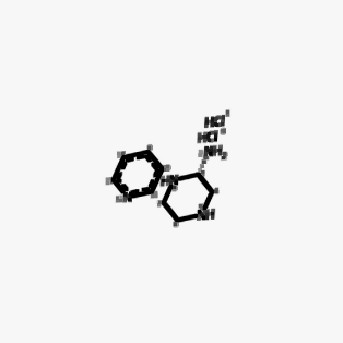 Cl.Cl.N[C@@H]1CNCCN1.c1ccncc1